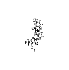 C[C@H](CC(F)(F)F)C(=O)N1CCC(O)(Cn2cnc3ccc(Cl)cc3c2=O)C2(CCCC2)C1